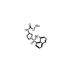 CC(C)(C)OC(=O)NC1CCN(S(=O)(=O)c2cccc3cncc(C#N)c23)C1